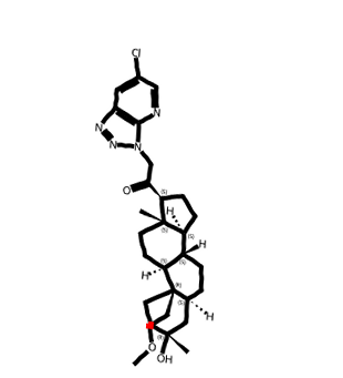 COCC[C@]12CC[C@@](C)(O)C[C@@H]1CC[C@H]1[C@@H]3CC[C@H](C(=O)Cn4nnc5cc(Cl)cnc54)[C@@]3(C)CC[C@@H]12